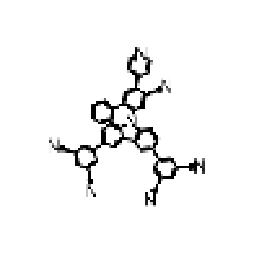 N#Cc1cc(C#N)cc(-c2ccc3c(c2)c2cc(-c4cc(C#N)cc(C#N)c4)ccc2n3-c2cc(C#N)c(-c3ccncc3)cc2-c2ccccc2)c1